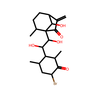 C=C1C(=O)C2(C(O)C(O)C3C(C)CC(Br)C(=O)C3C)C(C)CCC1C2O